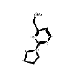 COCc1ccnc(N2CCCC2)n1